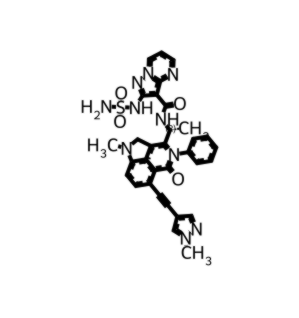 C[C@@H](NC(=O)c1c(NS(N)(=O)=O)nn2cccnc12)c1c2c3c(ccc(C#Cc4cnn(C)c4)c3c(=O)n1-c1ccccc1)N(C)C2